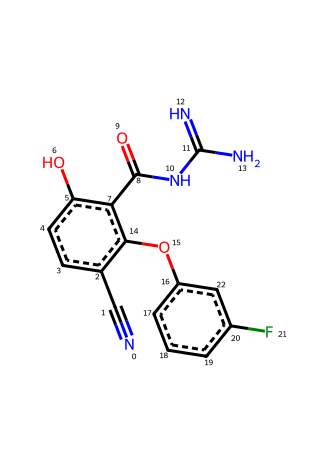 N#Cc1ccc(O)c(C(=O)NC(=N)N)c1Oc1cccc(F)c1